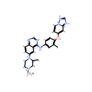 Cc1cc(Nc2ncnc3ccc(N4CCN(C(=O)O)CC4C)cc23)ccc1Oc1ccn2ncnc2c1